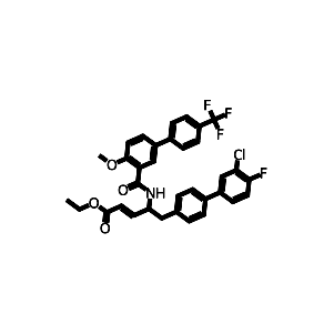 CCOC(=O)C=CC(Cc1ccc(-c2ccc(F)c(Cl)c2)cc1)NC(=O)c1cc(-c2ccc(C(F)(F)F)cc2)ccc1OC